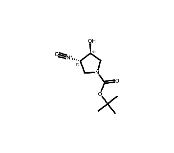 [C-]#[N+][C@H]1CN(C(=O)OC(C)(C)C)C[C@@H]1O